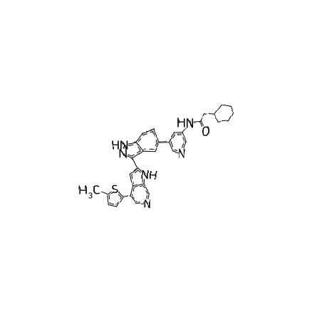 Cc1ccc(-c2cncc3[nH]c(-c4n[nH]c5ccc(-c6cncc(NC(=O)CC7CCCCC7)c6)cc45)cc23)s1